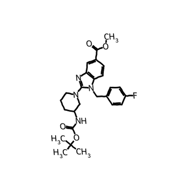 COC(=O)c1ccc2c(c1)nc(N1CCCC(NC(=O)OC(C)(C)C)C1)n2Cc1ccc(F)cc1